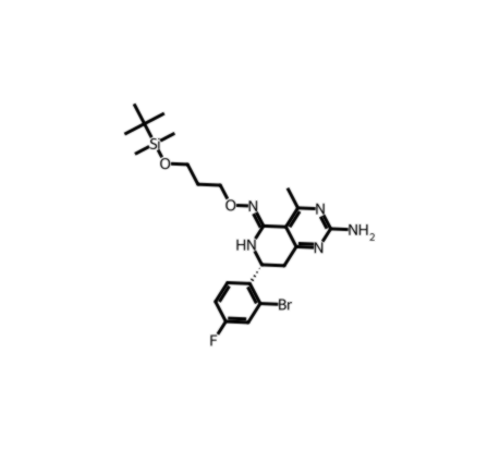 Cc1nc(N)nc2c1/C(=N/OCCCO[Si](C)(C)C(C)(C)C)N[C@@H](c1ccc(F)cc1Br)C2